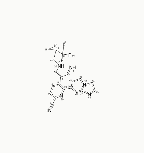 N#Cc1ccc(/C(C=N)=C/NCC2(C(F)(F)F)CC2)c(-c2ccn3ccnc3c2)n1